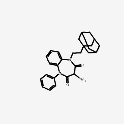 NC1C(=O)N(CCC23CC4CC(CC(C4)C2)C3)c2ccccc2N(c2ccccc2)C1=O